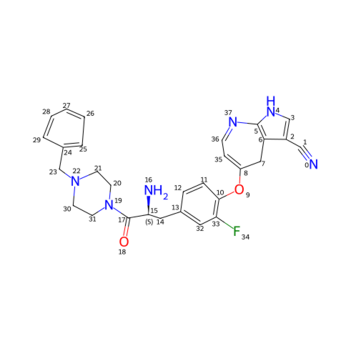 N#Cc1c[nH]c2c1CC(Oc1ccc(C[C@H](N)C(=O)N3CCN(Cc4ccccc4)CC3)cc1F)=CC=N2